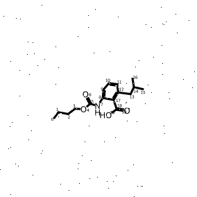 CCCCOC(=O)Nc1cccc(CC(C)C)c1C(=O)O